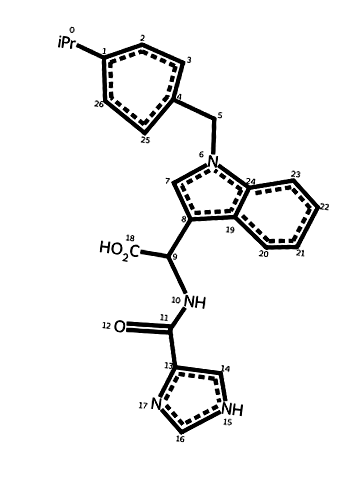 CC(C)c1ccc(Cn2cc(C(NC(=O)c3c[nH]cn3)C(=O)O)c3ccccc32)cc1